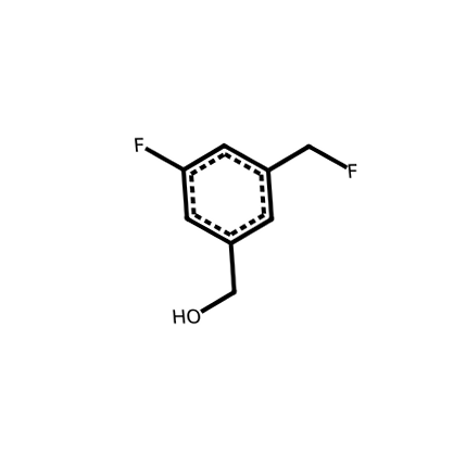 OCc1cc(F)cc(CF)c1